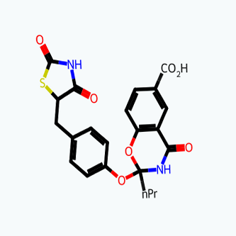 CCCC1(Oc2ccc(CC3SC(=O)NC3=O)cc2)NC(=O)c2cc(C(=O)O)ccc2O1